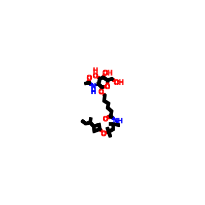 CCC(C)C1CC(OC(C)(C)CC(C)(C)NC(=O)CCCCCOC2OC(CO)C(O)C(O)[C@@H]2NC(C)=O)C1